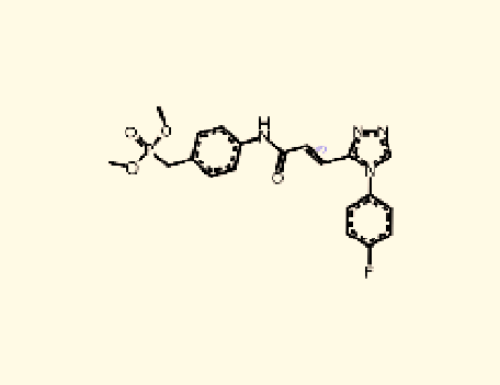 COP(=O)(Cc1ccc(NC(=O)/C=C/c2nncn2-c2ccc(F)cc2)cc1)OC